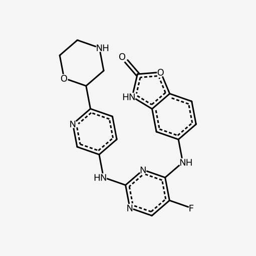 O=c1[nH]c2cc(Nc3nc(Nc4ccc(C5CNCCO5)nc4)ncc3F)ccc2o1